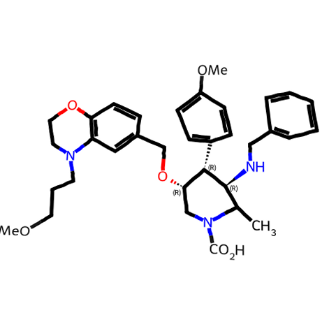 COCCCN1CCOc2ccc(CO[C@H]3CN(C(=O)O)C(C)[C@H](NCc4ccccc4)[C@H]3c3ccc(OC)cc3)cc21